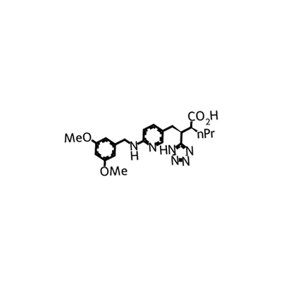 CCC[C@H](C(=O)O)[C@H](Cc1ccc(NCc2cc(OC)cc(OC)c2)nc1)c1nnn[nH]1